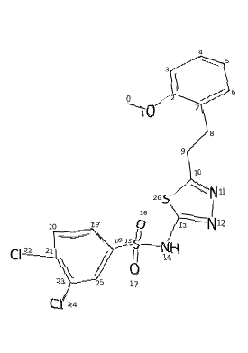 COc1ccccc1CCc1nnc(NS(=O)(=O)c2ccc(Cl)c(Cl)c2)s1